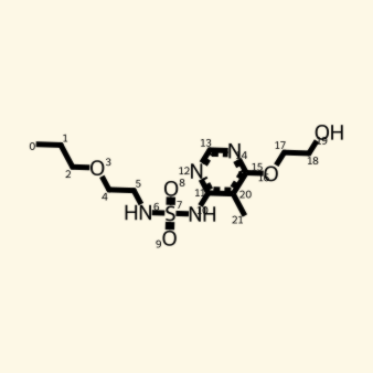 CCCOCCNS(=O)(=O)Nc1ncnc(OCCO)c1C